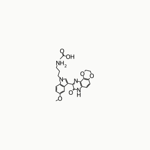 CC(=O)O.COc1ccc2c(c1)c(-c1nc3c4c(ccc3[nH]c1=O)OCCO4)cn2CCCN